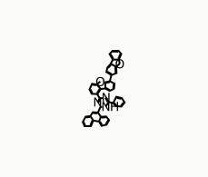 c1ccc(C2=NC(c3cccc4oc5c(-c6ccc7c(c6)oc6ccccc67)cccc5c34)=NC(c3cc4ccccc4c4ccccc34)N2)cc1